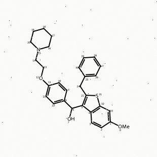 COc1ccc2c(C(O)c3ccc(OCCN4CCCCC4)cc3)c(Cc3ccccc3)sc2c1